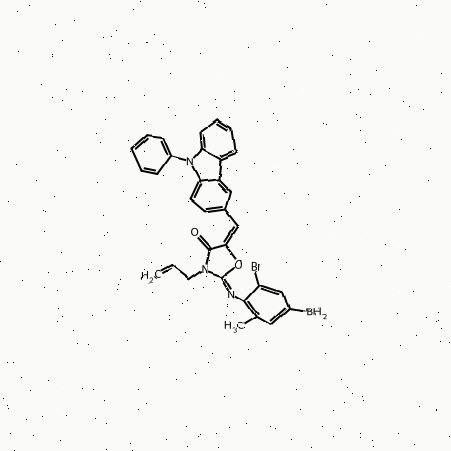 Bc1cc(C)c(/N=C2\O/C(=C/c3ccc4c(c3)c3ccccc3n4-c3ccccc3)C(=O)N2CC=C)c(Br)c1